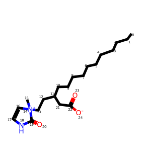 CCCCCCCCCCCC(CC[N+]1(C)C=CNC1=O)CC(=O)[O-]